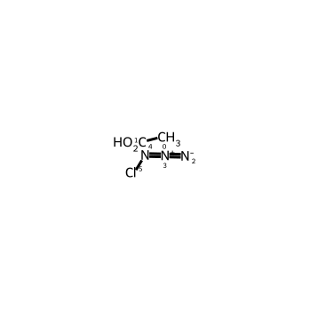 CC(=O)O.[N-]=[N+]=NCl